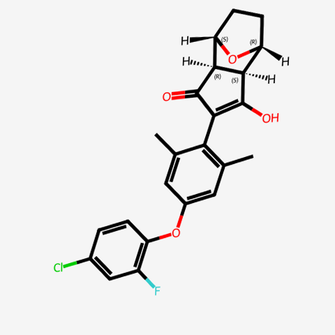 Cc1cc(Oc2ccc(Cl)cc2F)cc(C)c1C1=C(O)[C@H]2[C@@H](C1=O)[C@@H]1CC[C@H]2O1